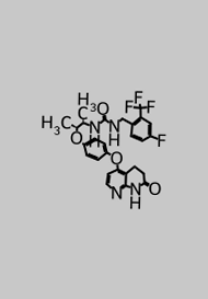 C[C@H](NC(=O)NCc1ccc(F)cc1C(F)(F)F)[C@H](C)Oc1ccc(Oc2ccnc3c2CCC(=O)N3)cc1